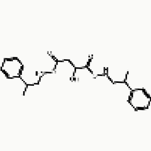 CC(CNOC(=O)CC(O)C(=O)ONCC(C)c1ccccc1)c1ccccc1